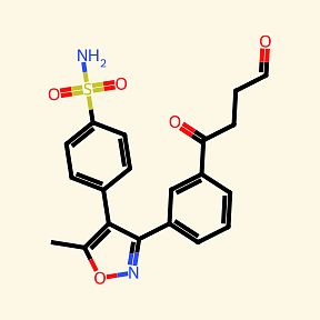 Cc1onc(-c2cccc(C(=O)CCC=O)c2)c1-c1ccc(S(N)(=O)=O)cc1